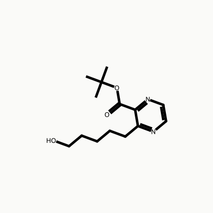 CC(C)(C)OC(=O)c1nccnc1CCCCCO